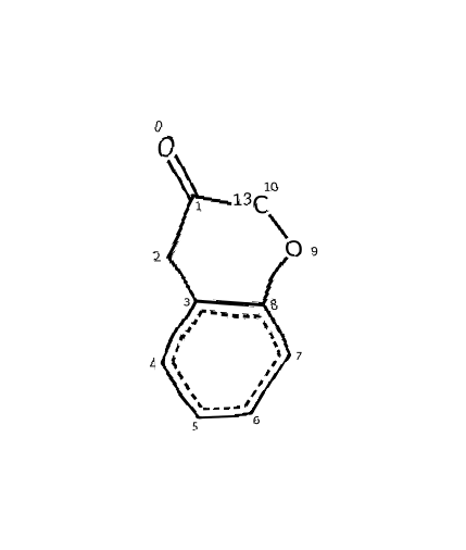 O=C1Cc2ccccc2O[13CH2]1